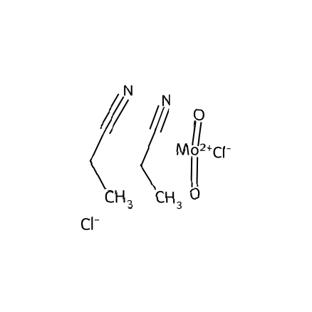 CCC#N.CCC#N.[Cl-].[Cl-].[O]=[Mo+2]=[O]